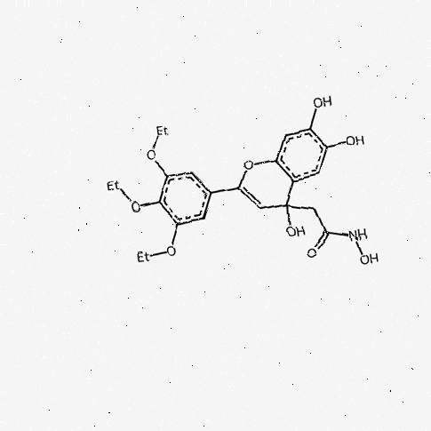 CCOc1cc(C2=CC(O)(CC(=O)NO)c3cc(O)c(O)cc3O2)cc(OCC)c1OCC